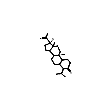 CC(=O)[C@@]1(O)CCC2C3CCC4C(C(C)C)C(=O)CCC4[C@@]3(C)CCC21C